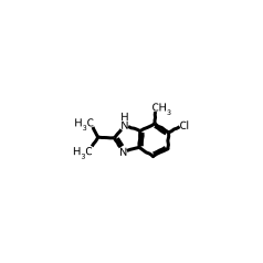 Cc1c(Cl)ccc2nc(C(C)C)[nH]c12